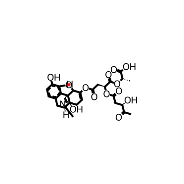 CC(=O)[C@@H](O)CC(=O)O[C@@H](CC(=O)OC1=CC[C@@]2(O)[C@H]3Cc4ccc(O)c5c4[C@@]2(CCN3C)[C@H]1O5)C(=O)O[C@@H](C)C(=O)O